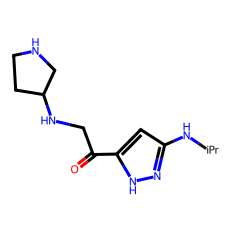 CC(C)Nc1cc(C(=O)CNC2CCNC2)[nH]n1